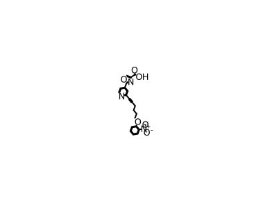 O=C(O)c1coc(-c2ccnc(C#CCCCCOc3ccccc3[N+](=O)[O-])c2)n1